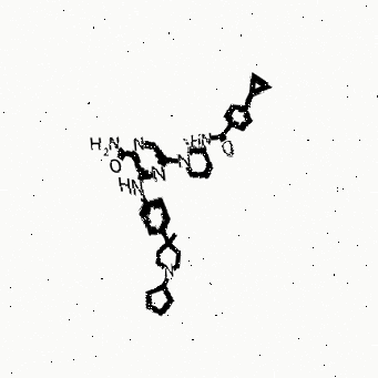 C[C@@H]1[C@H](NC(=O)c2ccc(C3CC3)cc2)CCCN1c1cnc(C(N)=O)c(Nc2ccc(C3(C)CCN(C4CCCC4)CC3)cc2)n1